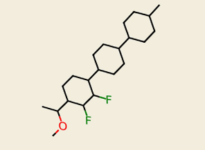 COC(C)C1CCC(C2CCC(C3CCC(C)CC3)CC2)C(F)C1F